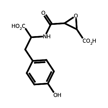 O=C(O)C(Cc1ccc(O)cc1)NC(=O)C1OC1C(=O)O